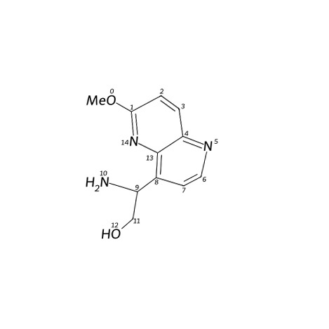 COc1ccc2nccc(C(N)CO)c2n1